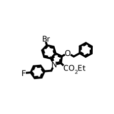 CCOC(=O)c1c(OCc2ccccc2)c2cc(Br)ccc2n1Cc1ccc(F)cc1